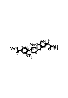 CCNC(=O)Nc1cc(CN2CCN(c3ccc(C(=O)NC)nc3C(F)(F)F)CC2)c(OC)cn1